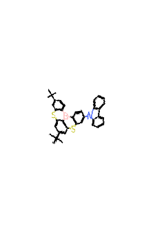 CC(C)(C)c1ccc2c(c1)Sc1cc(C(C)(C)C)cc3c1B2c1ccc(-n2c4ccccc4c4ccccc42)cc1S3